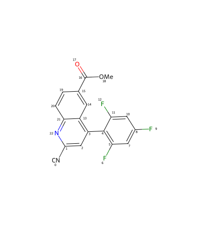 [C-]#[N+]c1cc(-c2c(F)cc(F)cc2F)c2cc(C(=O)OC)ccc2n1